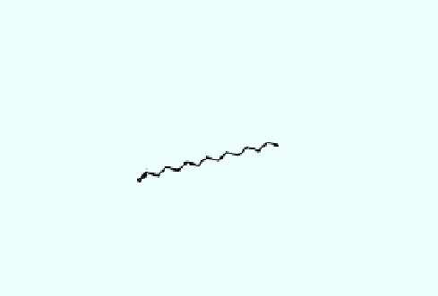 C=[C]CCCCCCCCCCCCC